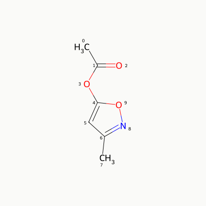 CC(=O)Oc1cc(C)no1